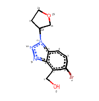 OCc1c(Br)ccc2c1nnn2C1CCOC1